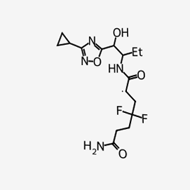 CCC(NC(=O)[CH]CC(F)(F)CCC(N)=O)C(O)c1nc(C2CC2)no1